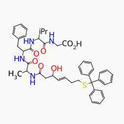 CC(NC(=O)CC(O)C=CCCSC(c1ccccc1)(c1ccccc1)c1ccccc1)C(=O)NC(Cc1ccccc1)C(=O)NC(C(=O)NCC(=O)O)C(C)C